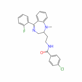 CN1c2ccccc2C(c2ccccc2F)=NCC1CCNC(=O)c1ccc(Cl)cc1